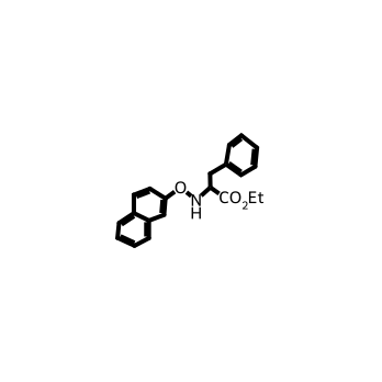 CCOC(=O)C(Cc1ccccc1)NOc1ccc2ccccc2c1